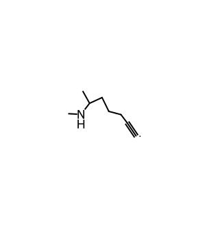 [C]#CCCCC(C)NC